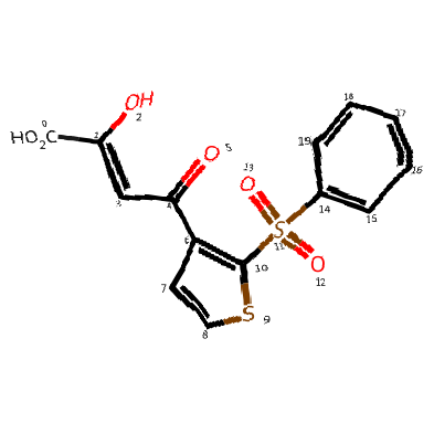 O=C(O)C(O)=CC(=O)c1ccsc1S(=O)(=O)c1ccccc1